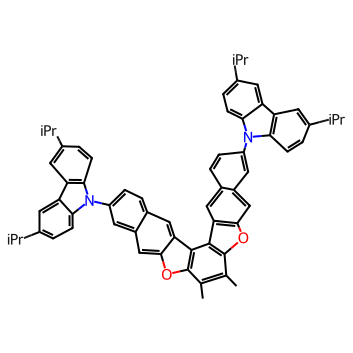 Cc1c(C)c2oc3cc4cc(-n5c6ccc(C(C)C)cc6c6cc(C(C)C)ccc65)ccc4cc3c2c2c1oc1cc3cc(-n4c5ccc(C(C)C)cc5c5cc(C(C)C)ccc54)ccc3cc12